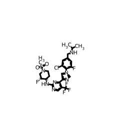 CC(C)NCc1cc(F)c(-n2cnc(-c3nc(N[C@@H]4CCN(S(C)(=O)=O)C[C@H]4F)ncc3C(F)(F)F)c2)c(Cl)c1